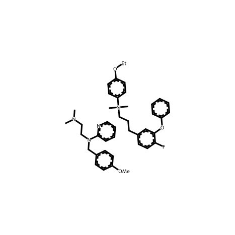 CCOc1ccc([Si](C)(C)CCCc2ccc(F)c(Oc3ccccc3)c2)cc1.COc1ccc(CN(CCN(C)C)c2ccccn2)cc1